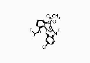 CS(=O)(=O)N1c2cccc(OC(F)F)c2[N@+]23C=c4cc(Cl)ccc4=N[C@H](C2)C13